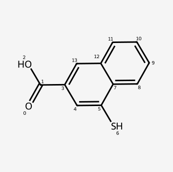 O=C(O)c1cc(S)c2ccccc2c1